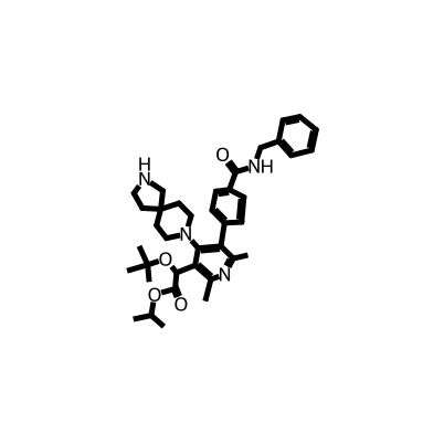 Cc1nc(C)c(C(OC(C)(C)C)C(=O)OC(C)C)c(N2CCC3(CCNC3)CC2)c1-c1ccc(C(=O)NCc2ccccc2)cc1